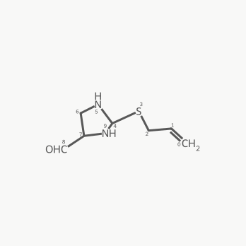 C=CCSC1NCC(C=O)N1